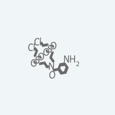 Nc1cccc(C(=O)N(CCCS(=O)(=O)CCCl)CCCS(=O)(=O)CCCl)c1